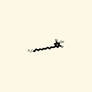 CCCCCCCCCCCCc1cc(Br)c(O)c(Br)c1